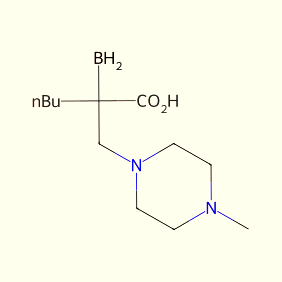 BC(CCCC)(CN1CCN(C)CC1)C(=O)O